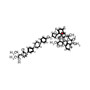 CC[C@@H]([C@H](C)O)n1ncn(-c2ccc(N3CCN(c4ccc(OC[C@@H]5CO[C@@](Cn6c[n+](C(C)OC(=O)N(C)c7ncccc7COC(=O)[C@@H](N)[C@@H](C)O)cn6)(c6ccc(F)cc6F)C5)cc4)CC3)cc2)c1=O